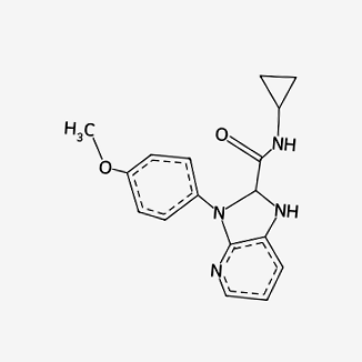 COc1ccc(N2c3ncccc3NC2C(=O)NC2CC2)cc1